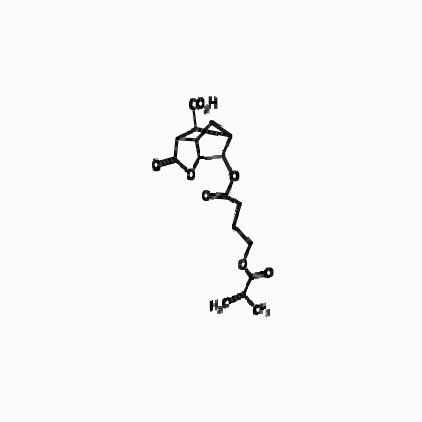 C=C(C(=O)OCCCC(=O)OC1C2CC3C1OC(=O)C3C2C(=O)O)C(F)(F)F